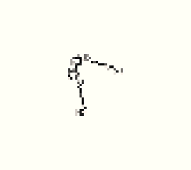 SCCCCCCOc1ccnc(-c2cc(OCCCCCCS)ccn2)c1